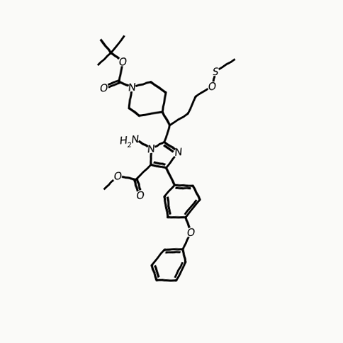 COC(=O)c1c(-c2ccc(Oc3ccccc3)cc2)nc(C(CCOSC)C2CCN(C(=O)OC(C)(C)C)CC2)n1N